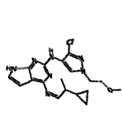 COCCn1cc(Nc2nc(/N=C\C(C)C3CC3)c3cc[nH]c3n2)c(Cl)n1